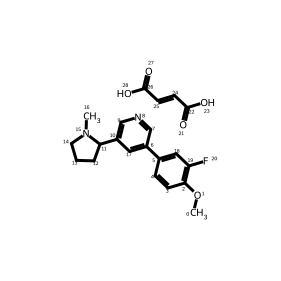 COc1ccc(-c2cncc(C3CCCN3C)c2)cc1F.O=C(O)C=CC(=O)O